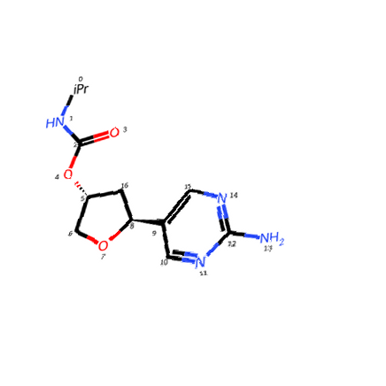 CC(C)NC(=O)O[C@H]1CO[C@H](c2cnc(N)nc2)C1